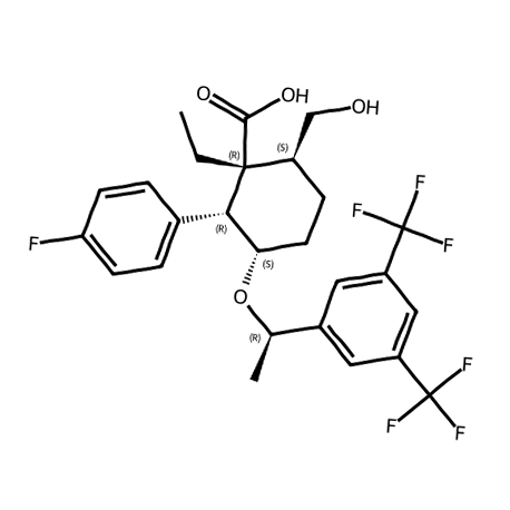 CC[C@@]1(C(=O)O)[C@@H](CO)CC[C@H](O[C@H](C)c2cc(C(F)(F)F)cc(C(F)(F)F)c2)[C@@H]1c1ccc(F)cc1